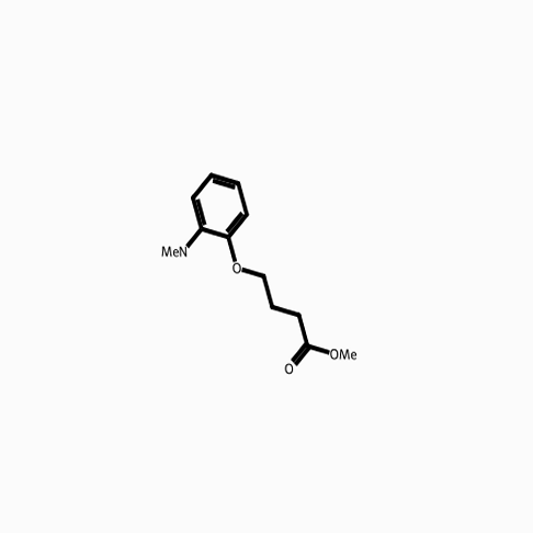 CNc1ccccc1OCCCC(=O)OC